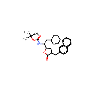 CC(C)(C)OC(=O)N[C@@H](CC1CCCCC1)C1CC(Cc2ccc3ccccc3c2)C(=O)O1